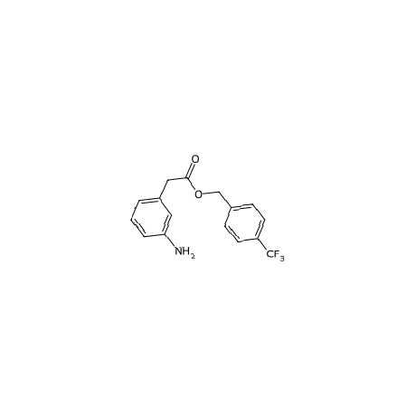 Nc1cccc(CC(=O)OCc2ccc(C(F)(F)F)cc2)c1